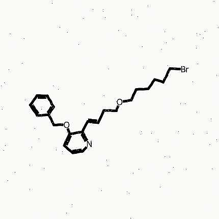 BrCCCCCCOCCC=Cc1ncccc1OCc1ccccc1